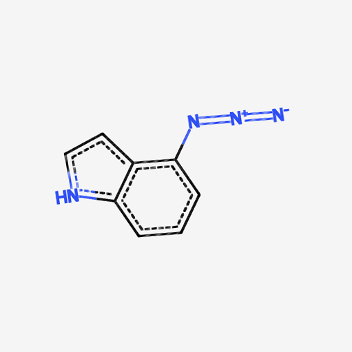 [N-]=[N+]=Nc1cccc2[nH]ccc12